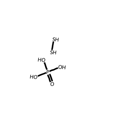 O=P(O)(O)O.SS